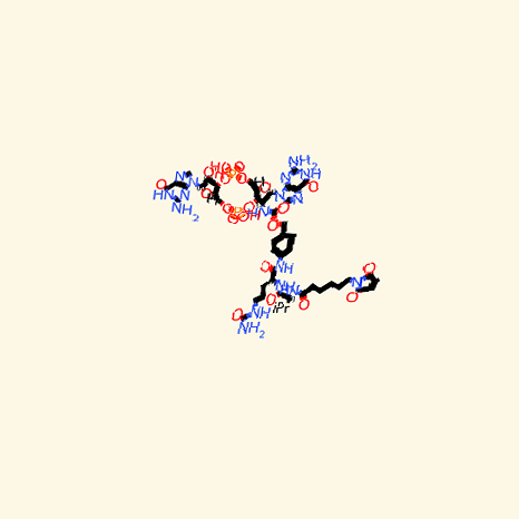 CC(C)[C@H](NC(=O)CCCCCN1C(=O)C=CC1=O)C(=O)N[C@@H](CCCNC(N)=O)C(=O)Nc1ccc(COC(=O)N[C@H]2C3OP(=O)(O)OC[C@H]4O[C@@H](n5cnc6c(=O)[nH]c(N)nc65)[C@@H](O)C4OP(=O)(O)OC[C@H]3O[C@H]2n2cnc3c(=O)[nH]c(N)nc32)cc1